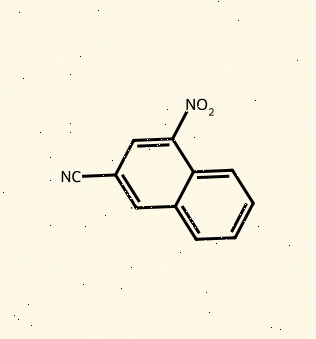 N#Cc1[c]c2ccccc2c([N+](=O)[O-])c1